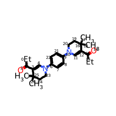 CCC(=O)C1=CN(c2ccc(N3C=C(C(=O)CC)C(C)(C)CC3)cc2)CCC1(C)C